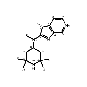 CN(c1nc2cnccc2s1)C1CC(C)(C)NC(C)(C)C1